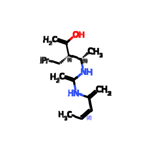 C=C(/C=C\C)NC(=C)N[C@@H](C)[C@H](CC(C)C)C(=C)O